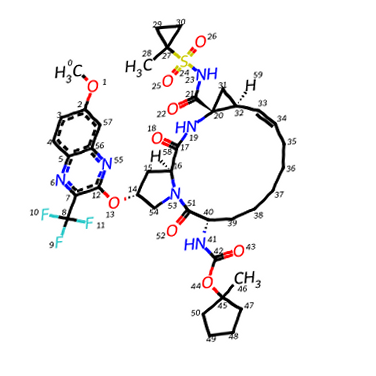 COc1ccc2nc(C(F)(F)F)c(O[C@@H]3C[C@H]4C(=O)N[C@]5(C(=O)NS(=O)(=O)C6(C)CC6)C[C@H]5/C=C\CCCCC[C@H](NC(=O)OC5(C)CCCC5)C(=O)N4C3)nc2c1